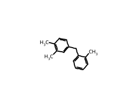 Cc1ccc(Cc2ccccc2C)cc1C